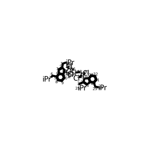 CC(C)CC1=Cc2c(CC(C)C)cccc2[CH]1[Zr]([Cl])([Cl])[CH2][SiH2][CH2][Zr]([Cl])([Cl])[CH]1C(CC(C)C)=Cc2c(CC(C)C)cccc21